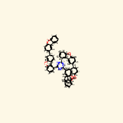 c1ccc2c(c1)oc1ccc(-c3ccc4c(c3)oc3cccc(-c5nc(-c6ccc7oc8ccccc8c7c6)nc(-c6cccc7oc8ccc(-c9ccc%10oc%11ccccc%11c%10c9)cc8c67)n5)c34)cc12